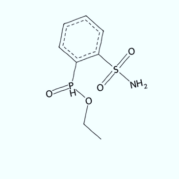 CCO[PH](=O)c1ccccc1S(N)(=O)=O